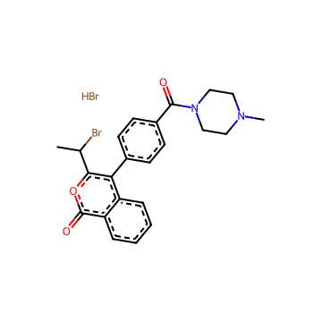 Br.CC(Br)c1oc(=O)c2ccccc2c1-c1ccc(C(=O)N2CCN(C)CC2)cc1